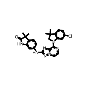 CC1(C)CN(c2nccn3nc(Nc4ccc5c(c4)NC(=O)C5(C)C)nc23)c2cc(Cl)ccc21